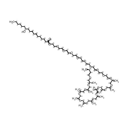 CCCCCC[C@@H](O)CCCCCCCCCCC(=O)OCCOCCOCCOCCOCCOCCOCCOCCOCCOC(C)COC(C)COC(C)COC(C)COC(C)COC(C)COC(C)COC(C)COC(C)COC(C)COC(C)COCCCC